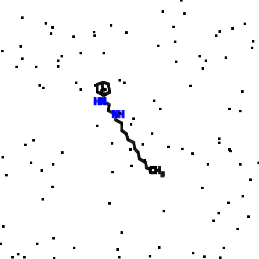 CCCCCCCCCCCCNCCNC12CCC(CC1)CC2